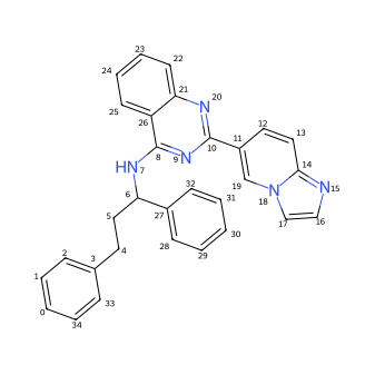 c1ccc(CCC(Nc2nc(-c3ccc4nccn4c3)nc3ccccc23)c2ccccc2)cc1